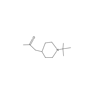 CC(=O)CC1CCN(C(C)(C)C)CC1